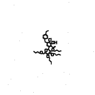 C=Cc1c(C2O[C@H](COCCCC)[C@@H](OCCCC)[C@H](OCCCC)[C@H]2OCCCC)cc(Cc2ccc(CC)cc2)c(Cl)c1O